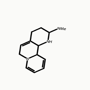 CNC1CCC2=CCN3C=CC=CC3C2N1